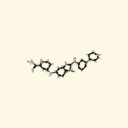 Cn1c(Nc2cccc(-c3ccncc3)c2)nc2cc(Oc3ccnc(C(N)=O)c3)ccc21